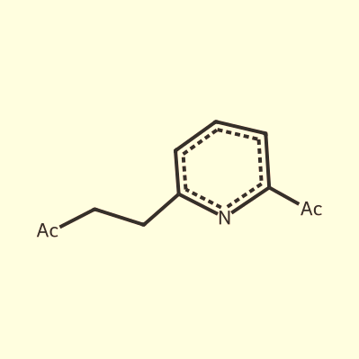 CC(=O)CCc1cccc(C(C)=O)n1